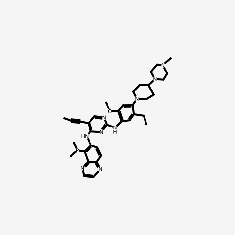 CC#Cc1cnc(Nc2cc(CC)c(N3CCC(N4CCN(C)CC4)CC3)cc2OC)nc1Nc1ccc2nccnc2c1P(C)C